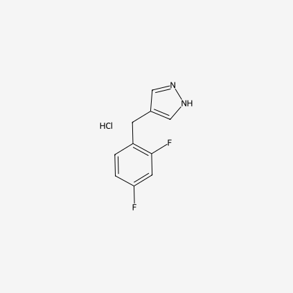 Cl.Fc1ccc(Cc2cn[nH]c2)c(F)c1